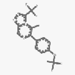 Cc1c(-c2ccc(OC(F)(F)F)cc2)ncc2nnc(C(F)(F)F)n12